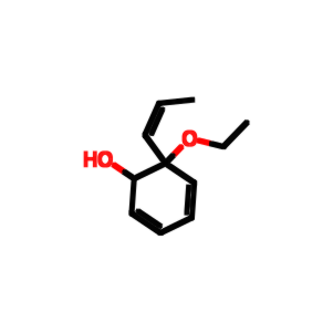 C/C=C\C1(OCC)C=CC=CC1O